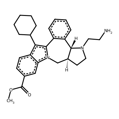 COC(=O)c1ccc2c(C3CCCCC3)c3n(c2c1)C[C@@H]1CCN(CCN)[C@H]1c1ccccc1-3